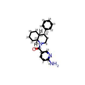 Nc1ccc(C(=O)N2CC[C@H](c3ccccc3)[C@H]3CCCC[C@H]32)cn1